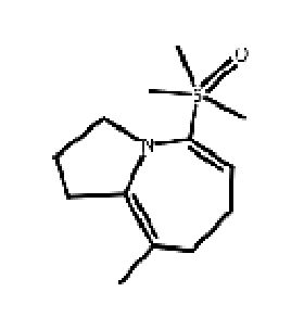 CC1=C2CCCN2C(S(C)(C)(C)=O)=CCC1